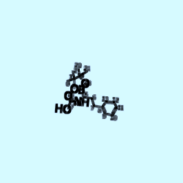 CC1(C)OB(C(CCc2ccccc2)NC(=O)O)OC1(C)C